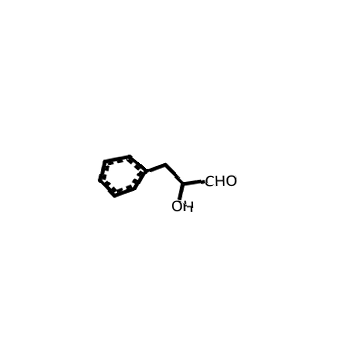 O=CC(O)Cc1ccccc1